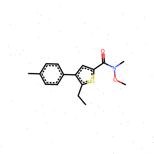 CCc1sc(C(=O)N(C)OC)cc1-c1ccc(C)cc1